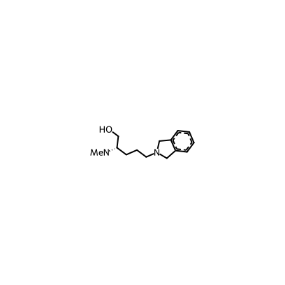 CN[C@H](CO)CCCN1Cc2ccccc2C1